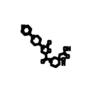 O=C(O)CC1(O)CCCN(C(=O)C2CN(C3CCN(c4ccncc4)CC3)C(=O)O2)C1